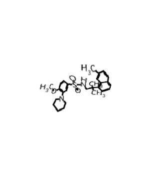 COc1ccc(S(=O)(=O)NCC(C)(C)c2cccc3ccc(C)cc23)cc1N1CCCCC1